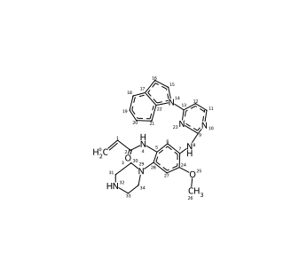 C=CC(=O)Nc1cc(Nc2nccc(-n3ccc4ccccc43)n2)c(OC)cc1N1CCNCC1